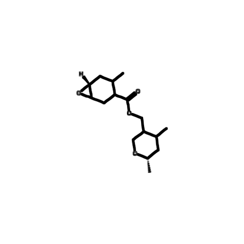 CC1C[C@H](C)OCC1COC(=O)C1CC2O[C@@H]2CC1C